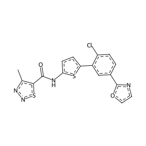 Cc1nnsc1C(=O)Nc1ccc(-c2cc(-c3ncco3)ccc2Cl)s1